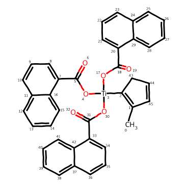 CC1=[C]([Ti]([O]C(=O)c2cccc3ccccc23)([O]C(=O)c2cccc3ccccc23)[O]C(=O)c2cccc3ccccc23)CC=C1